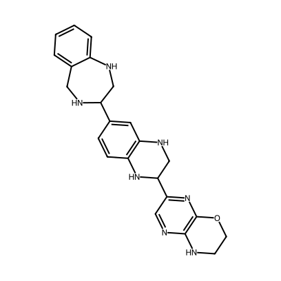 c1ccc2c(c1)CNC(c1ccc3c(c1)NCC(c1cnc4c(n1)OCCN4)N3)CN2